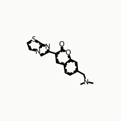 CN(C)Cc1ccc2cc(-c3cn4ccsc4n3)c(=O)oc2c1